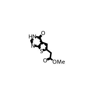 COC(=O)Cc1cc2c(=O)[nH]cnc2s1